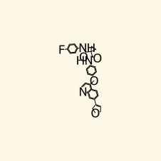 O=C(Nc1ccc(F)cc1)C1(C(=O)Nc2ccc(Oc3ccnc4cc(C5=CCOC5)ccc34)cc2)CC1